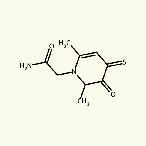 CC1=CC(=S)C(=O)C(C)N1CC(N)=O